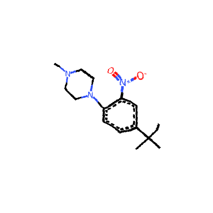 CN1CCN(c2ccc(C(C)(C)C)cc2[N+](=O)[O-])CC1